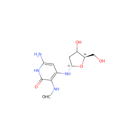 Nc1cc(N[C@@H]2CC(O)[C@@H](CO)O2)c(NC=O)c(=O)[nH]1